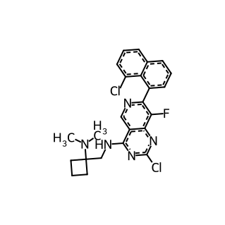 CN(C)C1(CNc2nc(Cl)nc3c(F)c(-c4cccc5cccc(Cl)c45)ncc23)CCC1